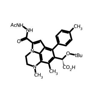 CC(=O)NNC(=O)c1cc2c(-c3ccc(C)cc3)c([C@H](OC(C)(C)C)C(=O)O)c(C)c3c2n1CCN3C